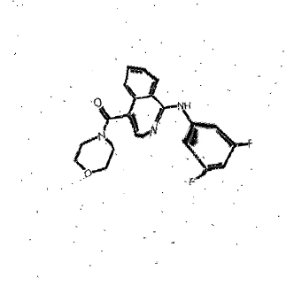 O=C(c1cnc(Nc2cc(F)cc(F)c2)c2ccccc12)N1CCOCC1